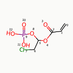 C=CC(=O)OC(CCl)OP(=O)(O)O